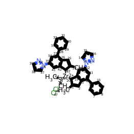 CC1=Cc2c(-c3ccccc3)cc(-n3cccn3)cc2[C@@H]1[Zr+2]([C@H]1C(C)=Cc2c(-c3ccccc3)cc(-n3cccn3)cc21)=[Si](C)C.[Cl-].[Cl-]